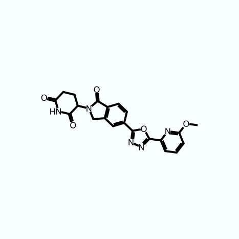 COc1cccc(-c2nnc(-c3ccc4c(c3)CN(C3CCC(=O)NC3=O)C4=O)o2)n1